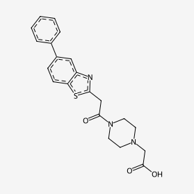 O=C(O)CN1CCN(C(=O)Cc2nc3cc(-c4ccccc4)ccc3s2)CC1